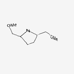 COCC1CCC(COC)[N]1